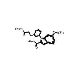 CNC(=O)c1cc2ccc(OC(F)(F)F)cc2n1-c1cccc(CCC(=O)OC)c1